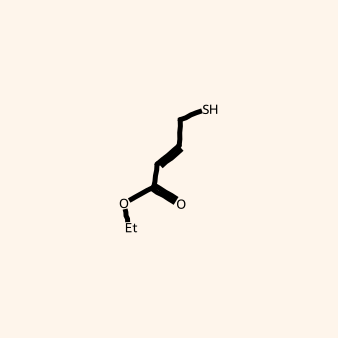 CCOC(=O)C=CCS